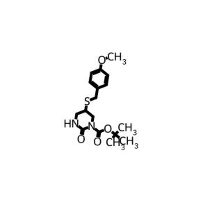 COc1ccc(CSC2CNC(=O)N(C(=O)OC(C)(C)C)C2)cc1